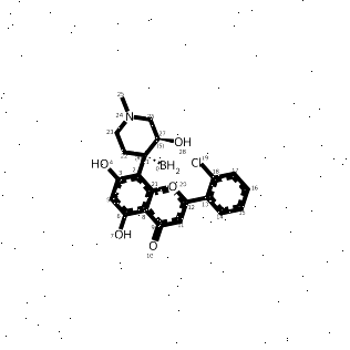 B[C@]1(c2c(O)cc(O)c3c(=O)cc(-c4ccccc4Cl)oc23)CCN(C)C[C@H]1O